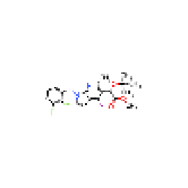 COC(=O)[C@@H](OC(C)(C)C)c1c(C)nc2c(ccn2Cc2cccc(F)c2F)c1I